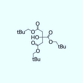 CC(C)(C)COC(=O)CC(O)(CC(=O)OCC(C)(C)C)C(=O)OCC(C)(C)C